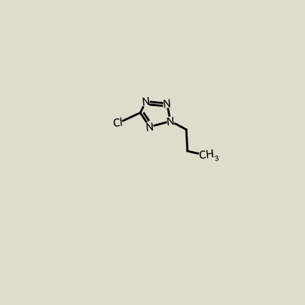 CCCn1nnc(Cl)n1